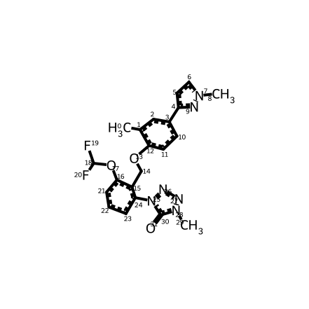 Cc1cc(-c2ccn(C)n2)ccc1OCc1c(OC(F)F)cccc1-n1nnn(C)c1=O